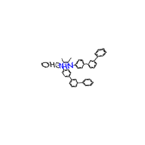 C/C(Nc1ccc(-c2cccc(-c3ccccc3)c2)cc1)=C(\C)N(C=O)c1ccc(-c2cccc(-c3ccccc3)c2)cc1